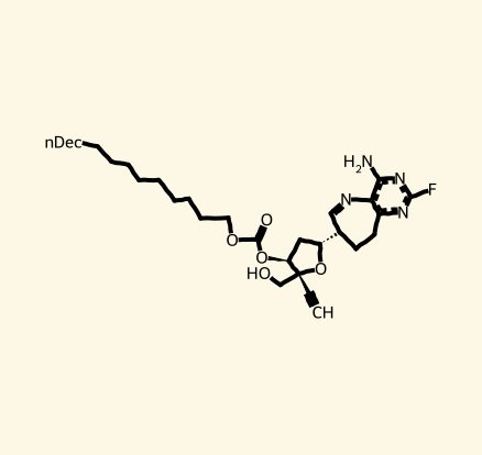 C#C[C@]1(CO)O[C@@H](C2C=Nc3c(N)nc(F)nc3CC2)C[C@@H]1OC(=O)OCCCCCCCCCCCCCCCCCCC